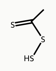 CC(=S)SS